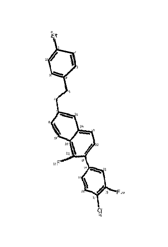 CCc1ccc(CCc2ccc3c(F)c(-c4ccc(Cl)c(F)c4)ccc3c2)cc1